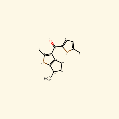 Cc1ccc(C(=O)c2c(C)sc3c2CCC3C(=O)O)s1